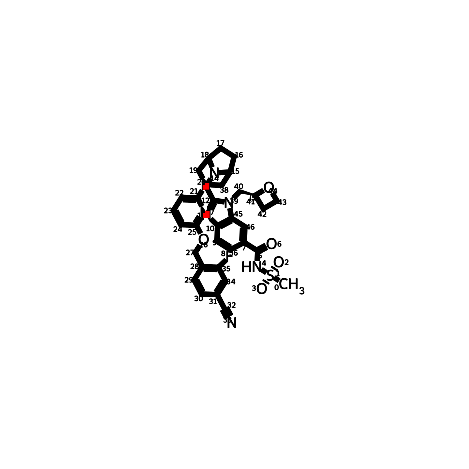 CS(=O)(=O)NC(=O)c1ccc2nc(CN3C4CCC3CN(c3cccc(OCc5ccc(C#N)cc5F)n3)C4)n(C[C@@H]3CCO3)c2c1